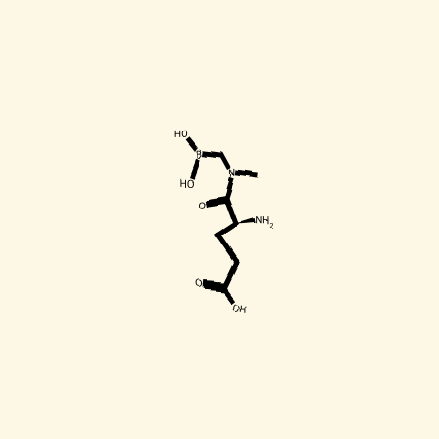 CN(CB(O)O)C(=O)[C@@H](N)CCC(=O)O